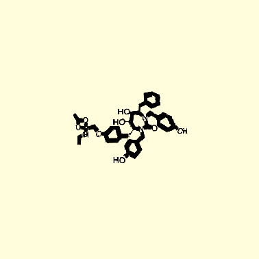 CCO[PH]1(COc2ccc(C[C@@H]3[C@H](O)[C@@H](O)[C@@H](Cc4ccccc4)N(Cc4ccc(O)cc4)C(=O)N3Cc3ccc(O)cc3)cc2)OC(C)O1